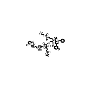 CC(C)(C)OC(=O)CCC(=O)N[C@@H](CSCC(=O)N(CCCNC(=O)OCC[Si](C)(C)C)[C@@H](c1cc(-c2cc(F)ccc2F)cn1Cc1ccccc1)C(C)(C)C)C(=O)NCCS(O)(O)CCNC(=O)CN1C(=O)C=CC1=O